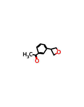 CC(=O)c1cccc(C2COC2)c1